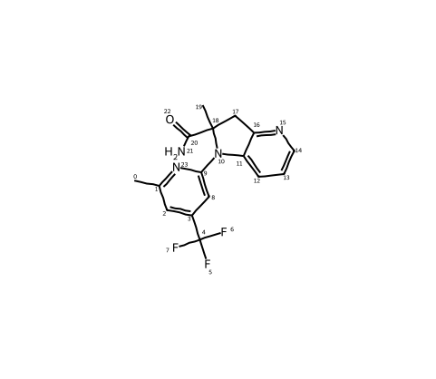 Cc1cc(C(F)(F)F)cc(N2c3cccnc3CC2(C)C(N)=O)n1